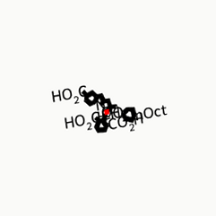 CCCCCCCCc1ccc(OCC(=O)Cc2cc3cc(C(=O)O)ccc3[nH]2)cc1.Cc1c(C(=O)O)cccc1C(=O)O